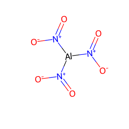 O=[N+]([O-])[Al]([N+](=O)[O-])[N+](=O)[O-]